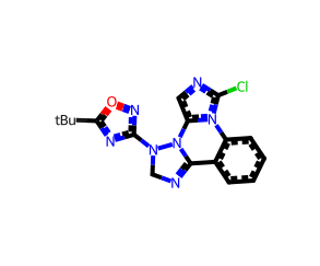 CC(C)(C)c1nc(N2CN=C3c4ccccc4-n4c(cnc4Cl)N32)no1